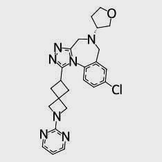 Clc1ccc2c(c1)CN([C@@H]1CCOC1)Cc1nnc(C3CC4(C3)CN(c3ncccn3)C4)n1-2